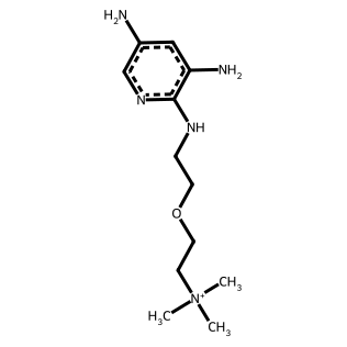 C[N+](C)(C)CCOCCNc1ncc(N)cc1N